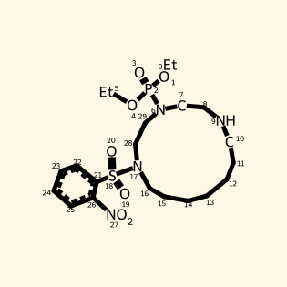 CCOP(=O)(OCC)N1CCNCCCCCCCN(S(=O)(=O)c2ccccc2[N+](=O)[O-])CC1